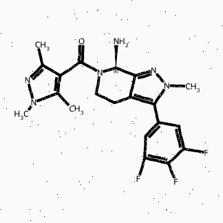 Cc1nn(C)c(C)c1C(=O)N1CCc2c(nn(C)c2-c2cc(F)c(F)c(F)c2)[C@@H]1N